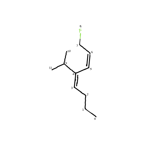 CCC/C=C(\C=C/CF)C(C)C